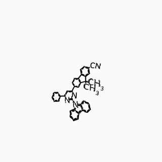 CC1(C)c2cc(C#N)ccc2-c2ccc(-c3cc(-c4ccccc4)nc(-n4c5ccccc5c5ccccc54)n3)cc21